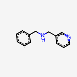 [c]1cccc(CNCc2cccnc2)c1